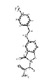 CC(C(N)=O)N1Cc2ccc(OCc3ccc(C(F)(F)F)cc3)cc2C1=O